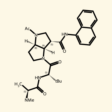 CN[C@@H](C)C(=O)N[C@H](C(=O)N1CC[C@@H]2[C@H]1[C@@H](C(=O)Nc1cccc3ccccc13)CN2C(C)=O)C(C)(C)C